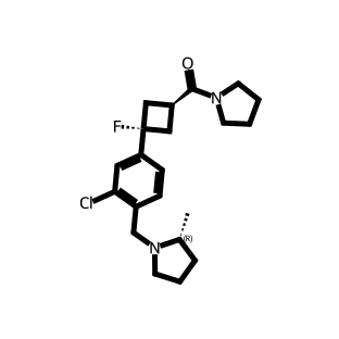 C[C@@H]1CCCN1Cc1ccc([C@]2(F)C[C@H](C(=O)N3CCCC3)C2)cc1Cl